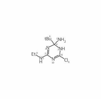 CCNC1=NC(N)(C(C)(C)C)NC(Cl)=N1